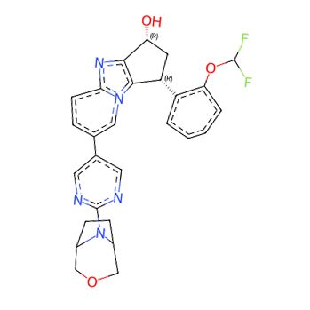 O[C@@H]1C[C@H](c2ccccc2OC(F)F)c2c1nc1ccc(-c3cnc(N4C5CCC4COC5)nc3)cn21